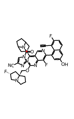 C#Cc1c(F)ccc2cc(O)cc(-c3ncc4c(N5CC6CCC(C5)N6C(=O)n5cnc(C#N)c5)nc(OC[C@@]56CCCN5C[C@H](F)C6)nc4c3F)c12